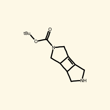 CC(C)(C)OC(=O)N1CC2=C3CNCC3C2C1